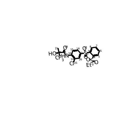 CCS(=O)(=O)c1ccccc1S(=O)(=O)c1ccc(NC(=O)C(C)(O)C(F)(F)F)c(Cl)c1